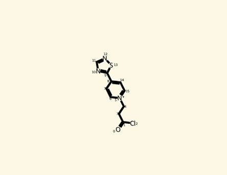 O=C(Cl)CC[n+]1ccc(-c2ncns2)cc1